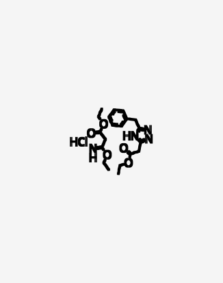 CCOC(=N)CC(=O)OCC.CCOC(=O)Cc1nnc(Cc2ccccc2)[nH]1.Cl